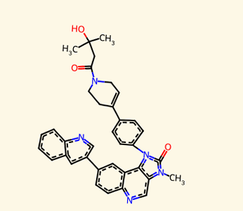 Cn1c(=O)n(-c2ccc(C3=CCN(C(=O)CC(C)(C)O)CC3)cc2)c2c3cc(-c4cnc5ccccc5c4)ccc3ncc21